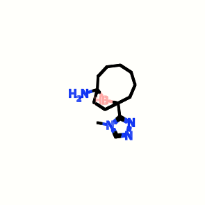 Cn1cnnc1C12BC(N)(CCCCCC1)CC2